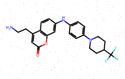 NCCc1cc(=O)oc2cc(Nc3ccc(N4CCC(C(F)(F)F)CC4)cc3)ccc12